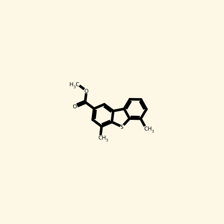 COC(=O)c1cc(C)c2sc3c(C)cccc3c2c1